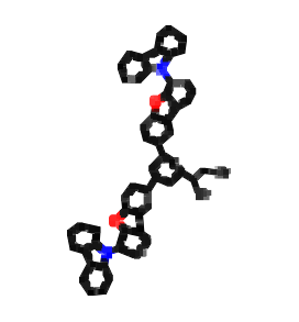 CC(C)CC(c1cc(-c2ccc3oc4c(-n5c6ccccc6c6ccccc65)cccc4c3c2)cc(-c2ccc3oc4c(-n5c6ccccc6c6ccccc65)cccc4c3c2)c1)C(C)C